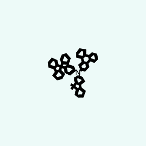 CC1(C)c2ccccc2-c2ccc(N(c3ccc(C4(c5ccccc5)c5ccccc5-c5ccccc54)cc3)c3ccc4c5ccccc5c5ccccc5c4c3)cc21